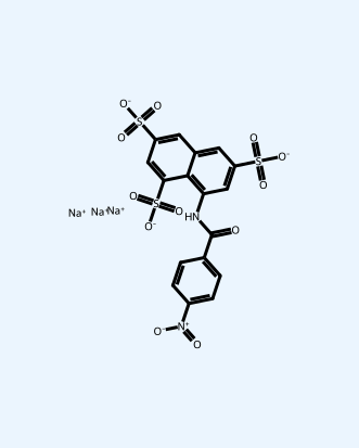 O=C(Nc1cc(S(=O)(=O)[O-])cc2cc(S(=O)(=O)[O-])cc(S(=O)(=O)[O-])c12)c1ccc([N+](=O)[O-])cc1.[Na+].[Na+].[Na+]